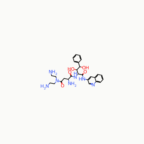 NCCN(CCN)C(=O)C[C@H](N)C(=O)N[C@H](C(=O)Nc1cnc2ccccc2c1)C(O)C(O)c1ccccc1